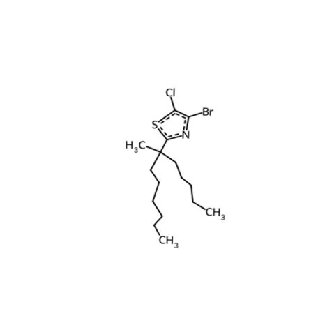 CCCCCCC(C)(CCCCC)c1nc(Br)c(Cl)s1